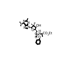 CCOC(=O)[C@H](C)NP(=O)(OC[C@H]1O[C@@H](n2cnc3c(N(C)C)nc(C)nc32)[C@](C)(F)[C@@H]1O)Oc1ccccc1